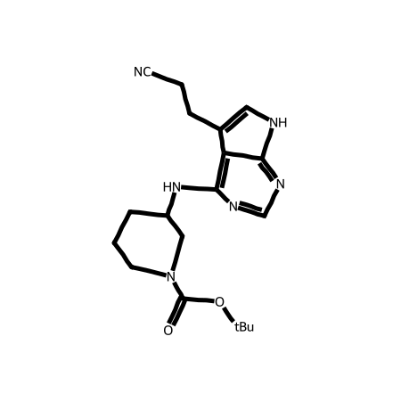 CC(C)(C)OC(=O)N1CCCC(Nc2ncnc3[nH]cc(CCC#N)c23)C1